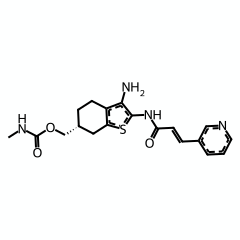 CNC(=O)OC[C@@H]1CCc2c(sc(NC(=O)/C=C/c3cccnc3)c2N)C1